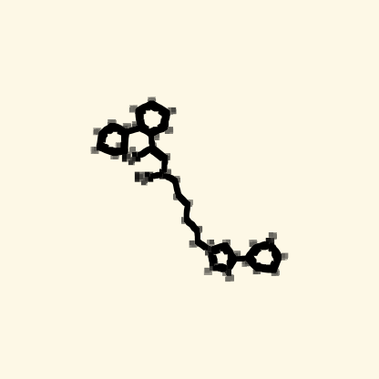 N/C(=C\N(N)CCCCCCn1cc(-c2cccnc2)nn1)c1ccccc1-c1ccccc1